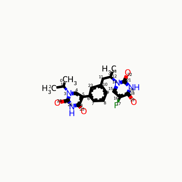 CC(C)n1cc(-c2cccc(CC(C)n3cc(F)c(=O)[nH]c3=O)c2)c(=O)[nH]c1=O